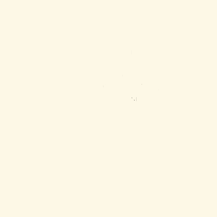 CCS(=O)(=O)NC(=O)/C=C/c1ccccc1